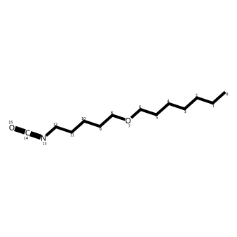 CCCCCCCOCCCCCN=C=O